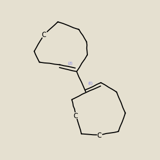 C1=C(\C2=C\CCCCCCC2)CCCCCCC/1